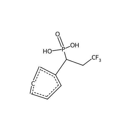 O=P(O)(O)C(CC(F)(F)F)c1ccccc1